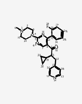 CN1CCN(c2ncc(C(=O)C(Cc3ccncc3)C3CC3)c(-c3ccccc3F)n2)CC1